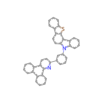 c1cc(-c2ccc3c4ccccc4c4ccccc4c3n2)cc(-n2c3ccccc3c3c4sc5ccccc5c4ccc32)c1